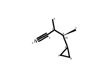 CC(C#N)[C@@H](C)C1CC1